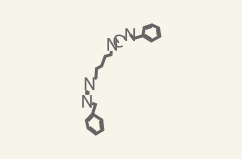 C(=NCCCCCN=C=NCc1ccccc1)=NCc1ccccc1